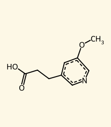 COc1cncc(CCC(=O)O)c1